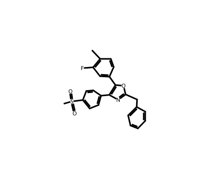 Cc1ccc(-c2oc(Cc3ccccc3)nc2-c2ccc(S(C)(=O)=O)cc2)cc1F